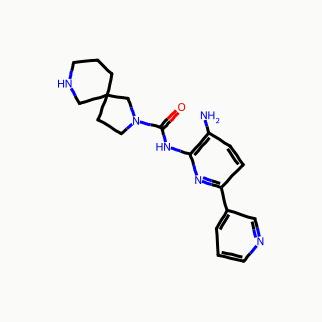 Nc1ccc(-c2cccnc2)nc1NC(=O)N1CCC2(CCCNC2)C1